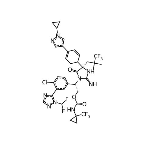 CC(C)(C[C@]1(C2C=CC(c3cnn(C4CC4)c3)=CC2)NC(=N)N([C@H](COC(=O)NC2(C(F)(F)F)CC2)c2ccc(Cl)c(-c3ncnn3C(F)F)c2)C1=O)C(F)(F)F